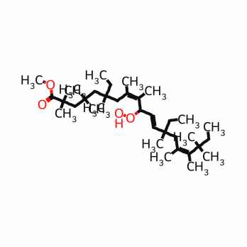 CCC(C)(/C=C/C(OO)/C(C)=C(/C)CC(C)(CC)CC(C)(C)CC(C)(C)C(=O)OC)C/C(C)=C(/C)C(C)(C)CC